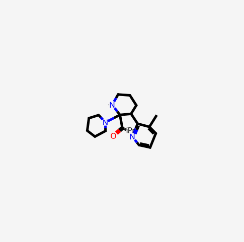 Cc1cccnc1C1CCC[N]C1(C(=O)C(C)C)N1CCCCC1